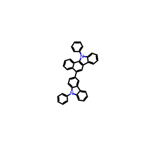 c1ccc(-n2c3ccccc3c3cc(-c4cc5c6ccccc6n(-c6ccccc6)c5c5ccccc45)ccc32)cc1